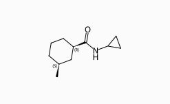 C[C@H]1CCC[C@@H](C(=O)NC2CC2)C1